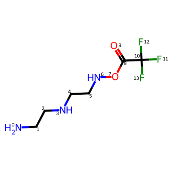 NCCNCCNOC(=O)C(F)(F)F